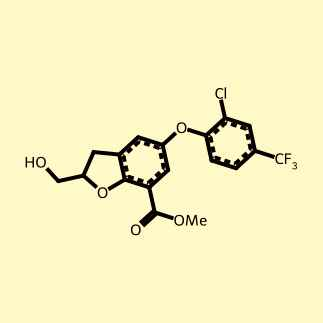 COC(=O)c1cc(Oc2ccc(C(F)(F)F)cc2Cl)cc2c1OC(CO)C2